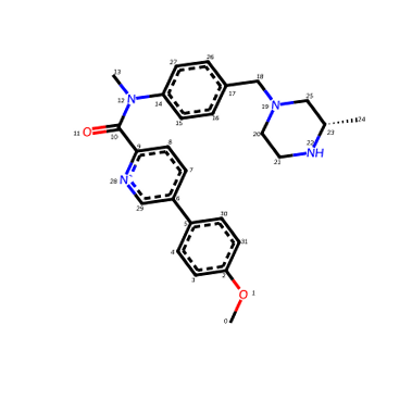 COc1ccc(-c2ccc(C(=O)N(C)c3ccc(CN4CCN[C@@H](C)C4)cc3)nc2)cc1